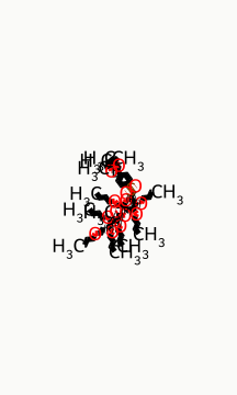 CCCCOCC[C@@H](OCCCC)C(OCCCC)[C@H](OCCCC)[C@@H](OC)O[C@@H]1C(COCCCC)O[C@@H](CS(=O)(=O)c2ccc(B3OC(C)(C)C(C)(C)O3)cc2)[C@@H](OCCCC)C1OCCCC